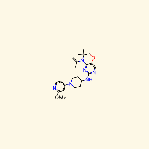 C=C(C)N1c2nc(NC3CCN(c4ccnc(OC)c4)CC3)ncc2OCC1(C)C